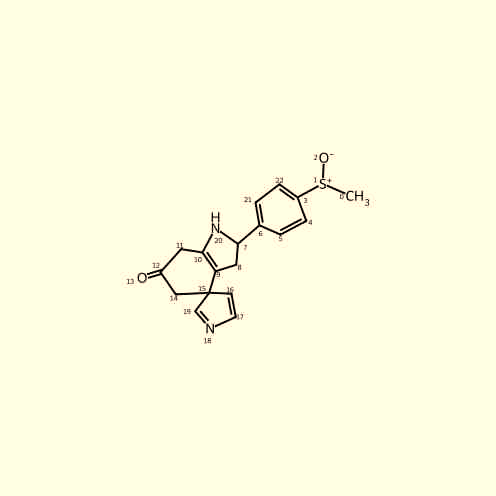 C[S+]([O-])c1ccc(C2CC3=C(CC(=O)CC34C=CN=C4)N2)cc1